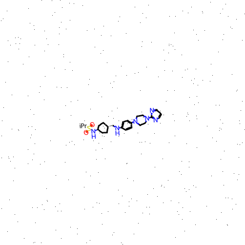 CC(C)S(=O)(=O)N[C@H]1CC[C@H](CNc2ccc(N3CCN(c4ncccn4)CC3)cc2)CC1